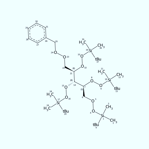 CC(C)(C)[Si](C)(C)OOC[C@H](OO[Si](C)(C)C(C)(C)C)[C@H](OO[Si](C)(C)C(C)(C)C)[C@@H](COOCc1ccccc1)OO[Si](C)(C)C(C)(C)C